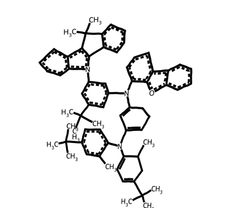 Cc1cc(C(C)(C)C)ccc1N(C1=CCCC(N(c2cc(-n3c4c(c5ccccc53)C(C)(C)c3ccccc3-4)cc(C(C)(C)C)c2)c2cccc3c2oc2ccccc23)=C1)C1=CC=C(C(C)(C)C)CC1C